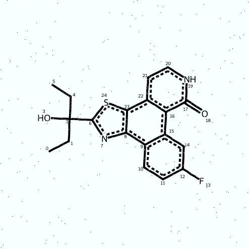 CCC(O)(CC)c1nc2c3ccc(F)cc3c3c(=O)[nH]ccc3c2s1